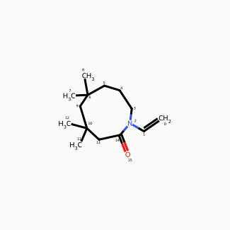 C=CN1CCCC(C)(C)CC(C)(C)CC1=O